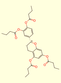 CCCC(=O)Oc1cc(OC(=O)CCC)c2c(c1)O[C@@H](c1ccc(OC(=O)CCC)c(OC(=O)CCC)c1)[CH]C2